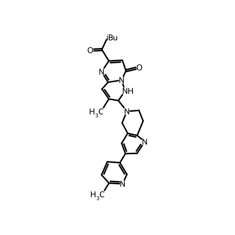 CCC(C)C(=O)c1cc(=O)n2c(n1)C=C(C)C(N1CCc3ncc(-c4ccc(C)nc4)cc3C1)N2